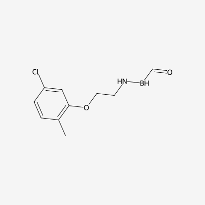 Cc1ccc(Cl)cc1OCCNBC=O